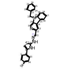 Fc1ccc(C2=CSC(N/N=C/c3cc4c5ccccc5n(Cc5ccccc5)c4cn3)N2)cc1